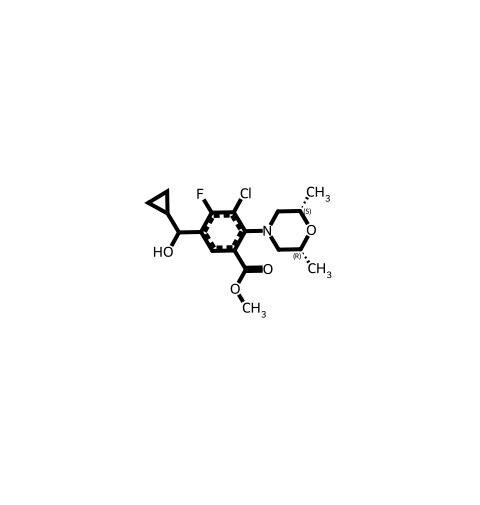 COC(=O)c1cc(C(O)C2CC2)c(F)c(Cl)c1N1C[C@@H](C)O[C@@H](C)C1